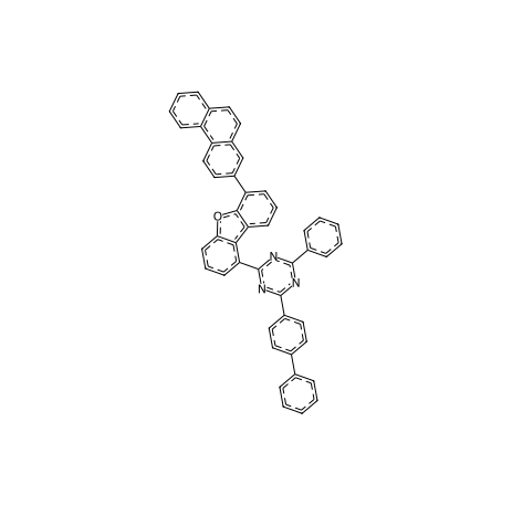 c1ccc(-c2ccc(-c3nc(-c4ccccc4)nc(-c4cccc5oc6c(-c7ccc8c(ccc9ccccc98)c7)cccc6c45)n3)cc2)cc1